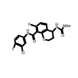 CNC(=O)NC1CCOc2c1ccc(F)c2C(=O)Nc1ccc(F)c(Cl)c1